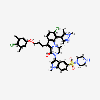 Cc1cc(OCCCc2c3n(c4c(-c5c(C)nn(C)c5C)c(Cl)ccc24)C(C)CN(c2cn(C)c4ccc(S(=O)(=O)N5CCNCC5)cc24)C3=O)cc(C)c1Cl